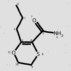 CCCC1=C(C(N)=O)SCCO1